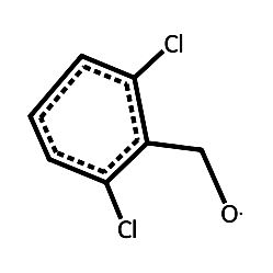 [O]Cc1c(Cl)cccc1Cl